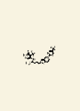 CC(CCCn1cc2c(n1)CCN(c1ncc(C(F)(F)F)cn1)C2)Nc1cn[nH]c(=O)c1C(F)(F)F